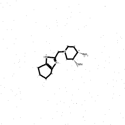 CO[C@@H]1CN(Cc2nc3c([nH]2)CCCC3)CC[C@@H]1N